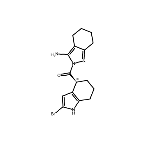 Nc1c2c(nn1C(=O)[C@H]1CCCc3[nH]c(Br)cc31)CCCC2